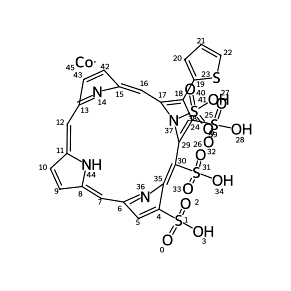 O=S(=O)(O)C1=Cc2cc3ccc(cc4nc(cc5c(-c6cccs6)c(S(=O)(=O)O)c(c(S(=O)(=O)O)c1n2)n5S(=O)(=O)O)C=C4)[nH]3.[Co]